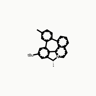 Cc1ccc2c(c1)-c1cc(C(C)(C)C)cc3c1-c1c4c-2cccc4cc[n+]1[C@@H]3C